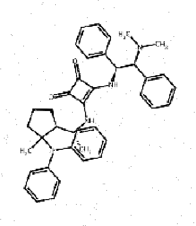 C[C@@H](Nc1c(N[C@@H](c2ccccc2)[C@H](c2ccccc2)N(C)C)c(=O)c1=O)[C@@H]1CCCC1(C)P(c1ccccc1)c1ccccc1